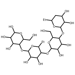 CCC1CC(O)C(O)C(OC2C(CO)OC(OC3C(CC)OC(OC4C(CO)OC(O)C(O)C4O)C(O)C3O)C(O)C2O)O1